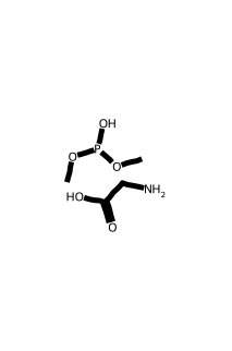 COP(O)OC.NCC(=O)O